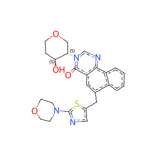 O=c1c2cc(Cc3cnc(N4CCOCC4)s3)c3ccccc3c2ncn1[C@H]1COCC[C@@H]1O